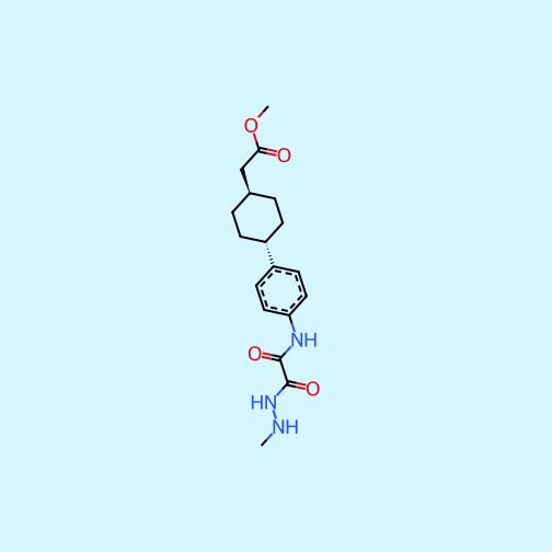 CNNC(=O)C(=O)Nc1ccc([C@H]2CC[C@H](CC(=O)OC)CC2)cc1